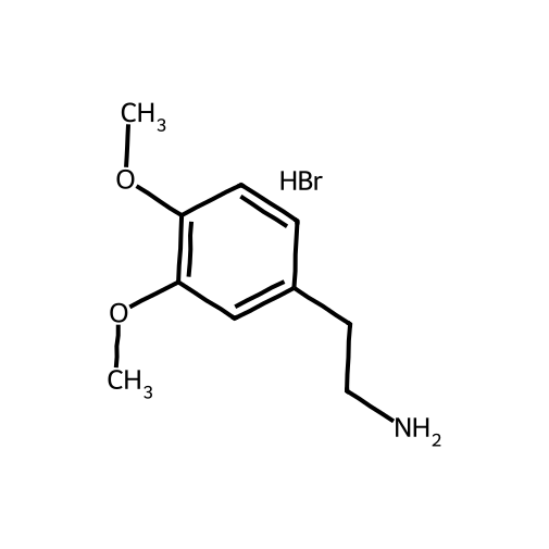 Br.COc1ccc(CCN)cc1OC